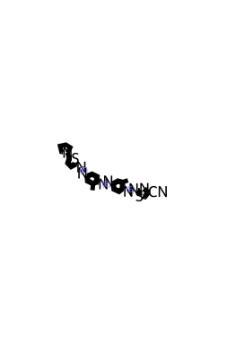 Cc1cc(/N=N/c2ccc(N3CCCC3)s2)ccc1/N=N/c1ccc(/N=N/c2nc(C#N)cs2)c(C)c1